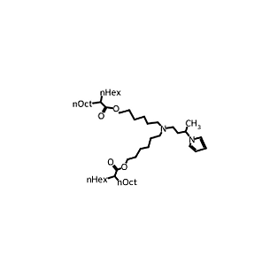 CCCCCCCCC(CCCCCC)C(=O)OCCCCCCN(CCCCCCOC(=O)C(CCCCCC)CCCCCCCC)CCC(C)n1cccc1